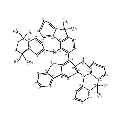 CC1(C)CCC(C)(C)c2cc(Nc3c(-c4c5c(cc6c4oc4ccccc46)N4c6ccccc6C(C)(C)c6cccc(c64)B5)ccc4c3-c3ccccc3C4(C)C)ccc21